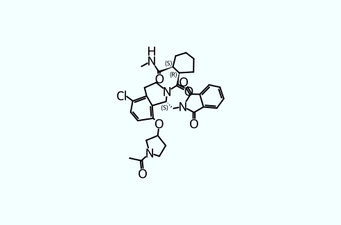 CNC(=O)[C@H]1CCCC[C@H]1C(=O)N1CCc2c(Cl)ccc(OC3CCN(C(C)=O)C3)c2[C@H]1CN1C(=O)c2ccccc2C1=O